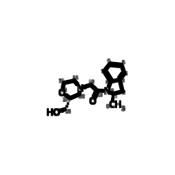 C[C@@H]1Cc2ccccc2N1C(=O)CN1CCO[C@@H](CO)C1